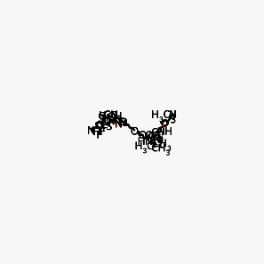 Cc1cc(OCCCCOCCOCC(=O)NC(C(=O)N2CCC[C@H]2C(=O)NCc2ccc(-c3scnc3C)cc2)C(C)(C)C)ncc1N1C(=S)N(c2ccc(C#N)c(C(F)(F)F)c2F)C(=O)C1(C)C